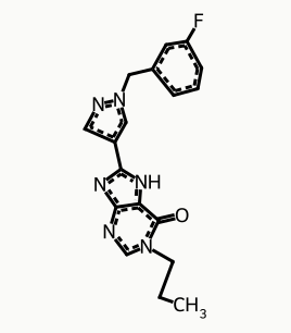 CCCn1cnc2nc(-c3cnn(Cc4cccc(F)c4)c3)[nH]c2c1=O